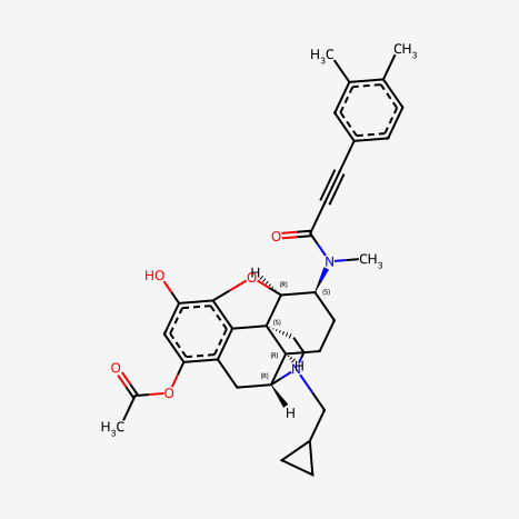 CC(=O)Oc1cc(O)c2c3c1C[C@@H]1[C@@H]4CC[C@H](N(C)C(=O)C#Cc5ccc(C)c(C)c5)[C@H](O2)[C@]34CCN1CC1CC1